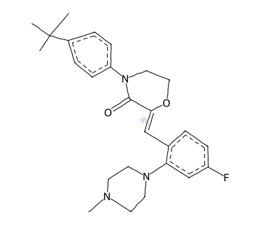 CN1CCN(c2cc(F)ccc2/C=C2\OCCN(c3ccc(C(C)(C)C)cc3)C2=O)CC1